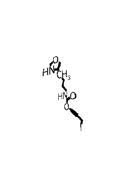 C1COCN1.CCCCNC(=O)OC#CCI